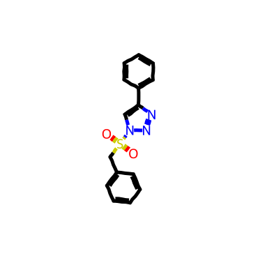 O=S(=O)(Cc1ccccc1)n1cc(-c2ccccc2)nn1